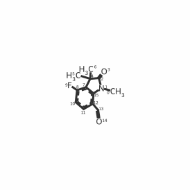 CN1C(=O)C(C)(C)c2c(F)ccc(C=O)c21